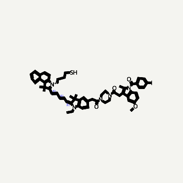 CCN1/C(=C/C=C/C=C/C2=[N+](CCCCS)c3ccc4ccccc4c3C2(C)C)C(C)(C)c2cc(CC(=O)N3CCN(C(=O)Cc4c(C)n(C(=O)c5ccc(I)cc5)c5ccc(OC)cc45)CC3)ccc21